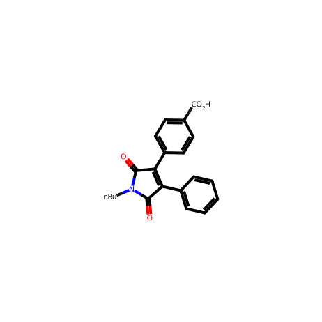 CCCCN1C(=O)C(c2ccccc2)=C(c2ccc(C(=O)O)cc2)C1=O